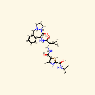 Cc1nc(C(=O)NC(C)C)sc1C(=O)NC[C@H](C(=O)N[C@@H]1C(=O)N2CCCN2Cc2ccccc21)C1CC1